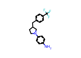 Nc1ccc(N2CCC(Cc3ccc(C(F)(F)F)cc3)C2)cc1